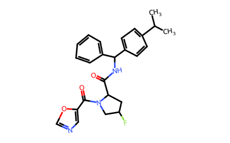 CC(C)c1ccc(C(NC(=O)C2CC(F)CN2C(=O)c2cnco2)c2ccccc2)cc1